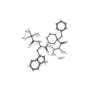 CN(C)N(C)C(=O)C1(Cc2ccccc2)CCCN(C(=O)C(Cc2c[nH]c3ccccc23)NC(=O)C(C)(C)N)C1.Cl